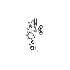 CCOc1ccc(CN2CCNC2=C[N+](=O)[O-])cn1